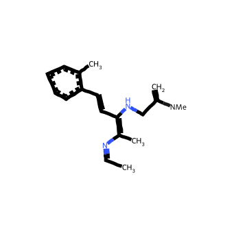 C=C(CNC(/C=C/c1ccccc1C)=C(C)/N=C\C)NC